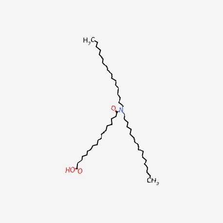 CCCCCCCCCCCCCCCCCCN(CCCCCCCCCCCCCCCCCC)C(=O)CCCCCCCCCCCCCCCCC(=O)O